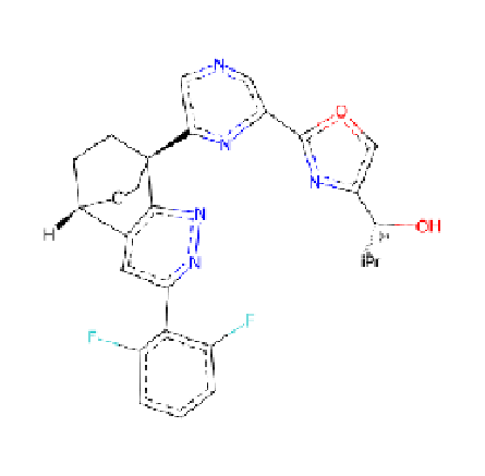 CC(C)[C@@H](O)c1coc(-c2cncc([C@]34CC[C@H](CC3)c3cc(-c5c(F)cccc5F)nnc34)n2)n1